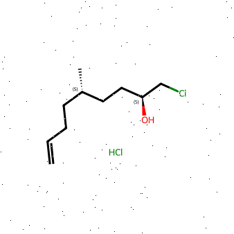 C=CCC[C@H](C)CC[C@H](O)CCl.Cl